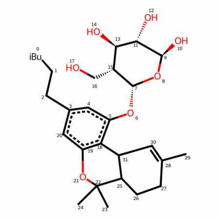 CCC(C)CCc1cc(O[C@H]2O[C@H](O)[C@@H](O)[C@H](O)[C@H]2CO)c2c(c1)OC(C)(C)C1CCC(C)=CC21